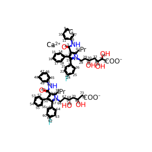 CC(C)c1c(C(=O)Nc2ccccc2)c(-c2ccccc2)c(-c2ccc(F)cc2)n1CC[C@@H](O)C[C@@H](O)C(O)C(=O)[O-].CC(C)c1c(C(=O)Nc2ccccc2)c(-c2ccccc2)c(-c2ccc(F)cc2)n1CC[C@@H](O)C[C@@H](O)CC(=O)[O-].[Ca+2]